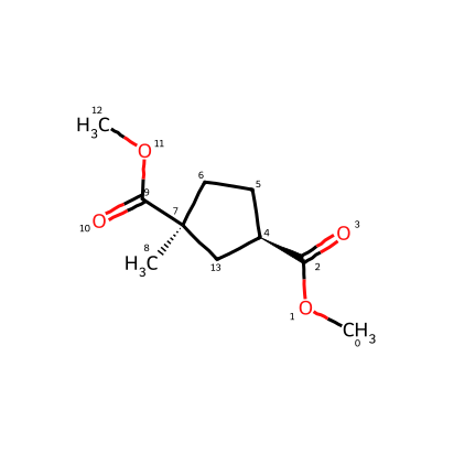 COC(=O)[C@@H]1CC[C@](C)(C(=O)OC)C1